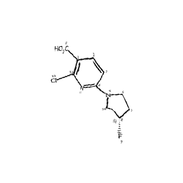 O=C(O)c1ccc(N2CC[C@H](F)C2)nc1Cl